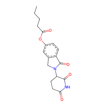 CCCCC(=O)Oc1ccc2c(c1)CN(C1CCC(=O)NC1=O)C2=O